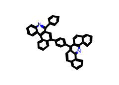 c1ccc(-c2nc3ccccc3c3c2cc(-c2ccc(-c4c5ccc6ccccc6c5nc5c4ccc4ccccc45)cc2)c2ccccc23)cc1